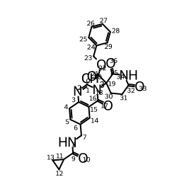 Cc1nc2ccc(CNC(=O)C3CC3)cc2c(=O)n1C1(C(=O)OCc2ccccc2)CCC(=O)NC1=O